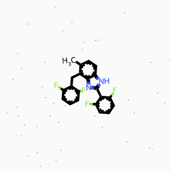 Cc1ccc2[nH]c(-c3c(F)cccc3F)nc2c1Cc1c(F)cccc1F